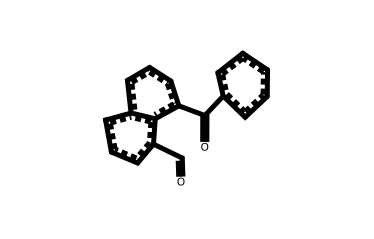 O=Cc1cccc2cccc(C(=O)c3ccccc3)c12